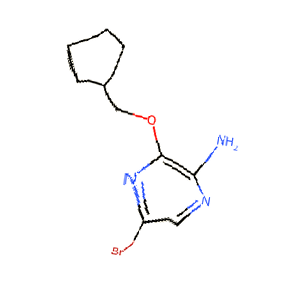 Nc1ncc(Br)nc1OCC1CCCC1